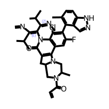 C=CC(=O)N1CC2Cc3c(c4cc(F)c(-c5c(C)ccc6[nH]ncc56)c(Cl)c4n(C(/C(=N\C)C(C)C)=C(/N=C)C(C)C)c3=O)N2CC1C